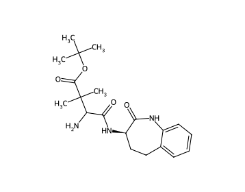 CC(C)(C)OC(=O)C(C)(C)C(N)C(=O)N[C@@H]1CCc2ccccc2NC1=O